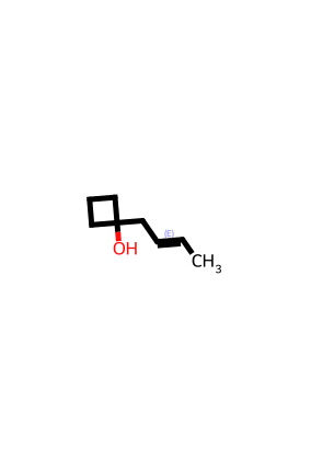 C/C=C/CC1(O)CCC1